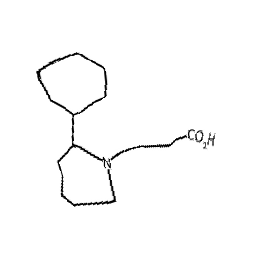 O=C(O)CCN1CCCCC1C1CCCCC1